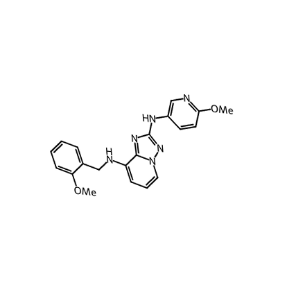 COc1ccc(Nc2nc3c(NCc4ccccc4OC)cccn3n2)cn1